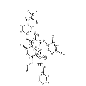 CCCN1CC(=O)N2[C@@H](CC3=CCC(OC(=O)N(C)C)CC3)C(O)N(Cc3ccc(F)cc3F)C[C@@H]2N1C(O)NCC1=CCCC=C1